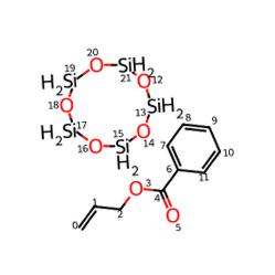 C=CCOC(=O)c1ccccc1.O1[SiH2]O[SiH2]O[SiH2]O[SiH2]O[SiH2]1